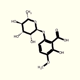 COc1ccc(O[C@@H]2O[C@@H](C)[C@H](O)[C@@H](O)[C@H]2O)c(C(=O)O)c1O